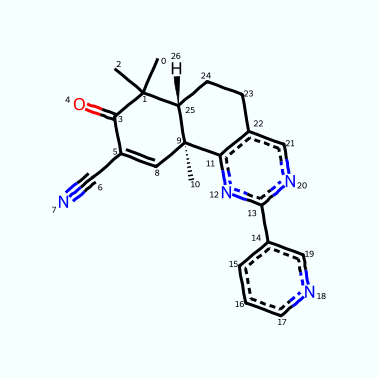 CC1(C)C(=O)C(C#N)=C[C@]2(C)c3nc(-c4cccnc4)ncc3CC[C@@H]12